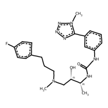 C[C@@H](NC(=O)Nc1cccc(-c2nnnn2C)c1)[C@@H](O)CN(C)CCCc1ccc(F)cc1